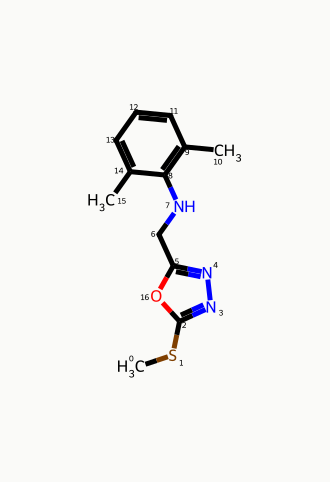 CSc1nnc(CNc2c(C)cccc2C)o1